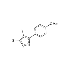 COc1ccc(-c2ssc(=S)c2C)cc1